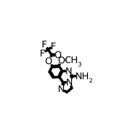 COc1c(OC(=O)C(F)(F)F)ccc2c1N=C(N)N1CCN=C21